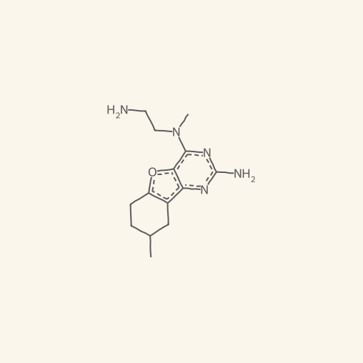 CC1CCc2oc3c(N(C)CCN)nc(N)nc3c2C1